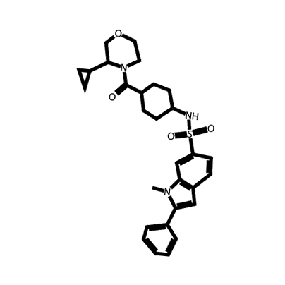 Cn1c(-c2ccccc2)cc2ccc(S(=O)(=O)NC3CCC(C(=O)N4CCOCC4C4CC4)CC3)cc21